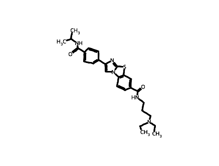 CCN(CC)CCCNC(=O)c1ccc2c(c1)sc1nc(-c3ccc(C(=O)NC(C)C)cc3)cn12